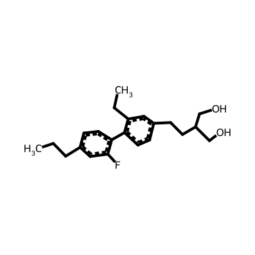 CCCc1ccc(-c2ccc(CCC(CO)CO)cc2CC)c(F)c1